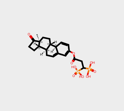 C[C@]12CC[C@H]3[C@@H](CC=C4C=C(OC(=O)CC(P(=O)(O)O)P(=O)(O)O)C=C[C@@H]43)[C@@H]1CCC2=O